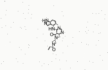 C=CC(=O)N1CC(N2Cc3ncnc(Nc4c(C)ccc5[nH]ncc45)c3C2=O)C1